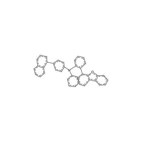 c1ccc(N(c2ccc(-c3cccc4ccccc34)cc2)c2ccccc2-c2cccc3c2oc2ccccc23)cc1